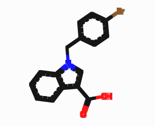 O=C(O)c1cn(Cc2ccc(Br)cc2)c2ccccc12